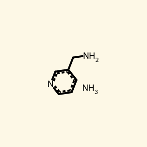 N.NCc1cccnc1